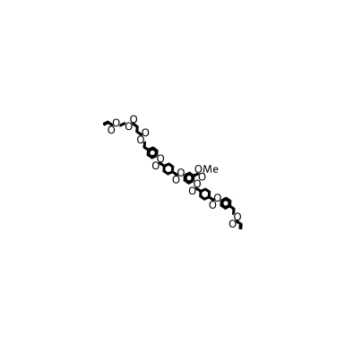 C=CC(=O)OCCOC(=O)CCC(=O)OCCc1ccc(OC(=O)C2CCC(C(=O)Oc3ccc(OC(=O)C4CCC(C(=O)Oc5ccc(CCOC(=O)C=C)cc5)CC4)c(C(=O)OC)c3)CC2)cc1